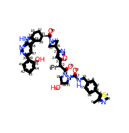 Cc1ncsc1-c1ccc(CNC(=O)N2C[C@@H](O)CN2C(=O)[C@@H](c2cc(C3CN(C(=O)[C@@H]4CCc5[nH]c6nnc(-c7ccccc7O)cc6c5C4)C3)no2)C(C)C)cc1